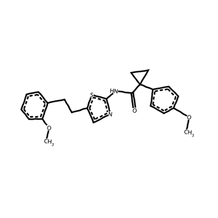 COc1ccc(C2(C(=O)Nc3ncc(CCc4ccccc4OC)s3)CC2)cc1